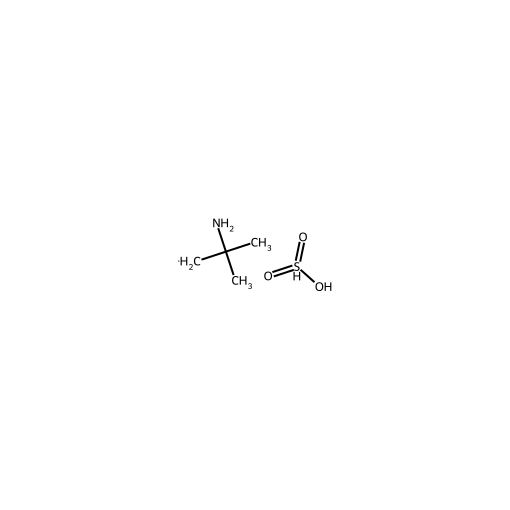 O=[SH](=O)O.[CH2]C(C)(C)N